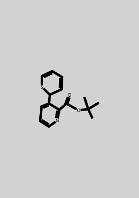 CC(C)(C)OC(=O)c1ncccc1C1C=CC=CS1